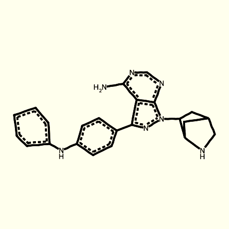 Nc1ncnc2c1c(-c1ccc(Nc3ccccc3)cc1)nn2C1CC2CNC1C2